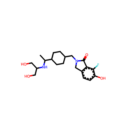 CC(NC(CO)CO)C1CCC(CN2Cc3ccc(O)c(F)c3C2=O)CC1